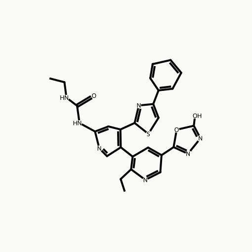 CCNC(=O)Nc1cc(-c2nc(-c3ccccc3)cs2)c(-c2cc(-c3nnc(O)o3)cnc2CC)cn1